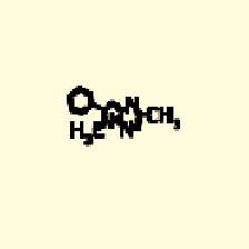 Cc1cnc2c(cc(-c3ccccc3)n2C)n1